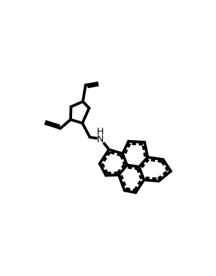 C=CC1CC(C=C)C(CNc2ccc3ccc4cccc5ccc2c3c45)C1